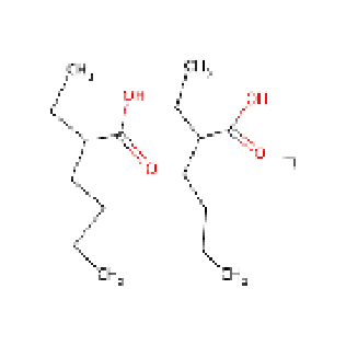 CCCCC(CC)C(=O)O.CCCCC(CC)C(=O)O.[Ti]